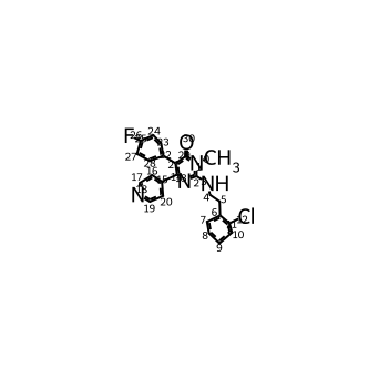 Cn1c(NCCc2ccccc2Cl)nc(-c2ccncc2)c(-c2ccc(F)cc2)c1=O